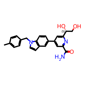 Cc1ccc(Cn2ccc3cc(-c4cc(C(N)=O)nc([C@H](O)CO)c4)ccc32)cc1